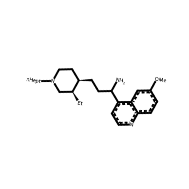 CCCCCCCN1CC[C@@H](CCC(N)c2ccnc3ccc(OC)cc23)[C@@H](CC)C1